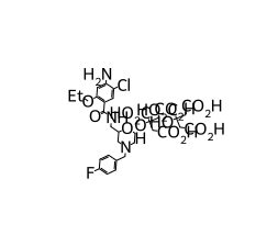 CCOc1cc(N)c(Cl)cc1C(=O)NCC1CN(Cc2ccc(F)cc2)CCO1.O=C(O)CC(O)(CC(=O)O)C(=O)O.O=C(O)CC(O)(CC(=O)O)C(=O)O